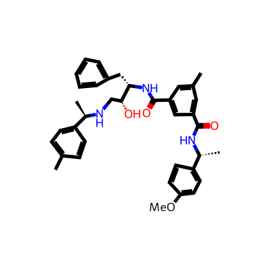 COc1ccc([C@@H](C)NC(=O)c2cc(C)cc(C(=O)N[C@@H](Cc3ccccc3)[C@H](O)CN[C@H](C)c3ccc(C)cc3)c2)cc1